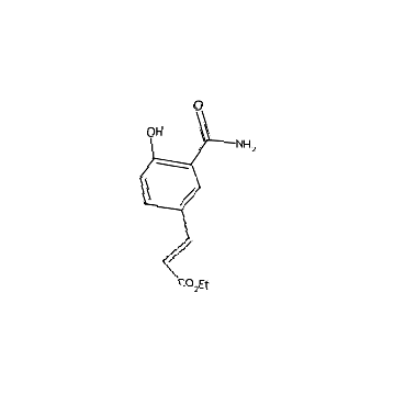 CCOC(=O)C=Cc1ccc(O)c(C(N)=O)c1